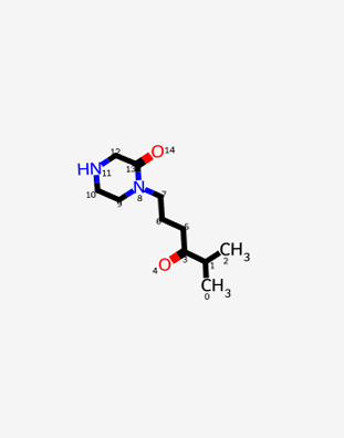 CC(C)C(=O)CCCN1CCNCC1=O